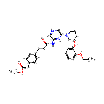 CCOc1ccccc1O[C@@H]1CCCN(c2cncc(NC(=O)CCc3ccc(CC(=O)OC)cc3)n2)C1